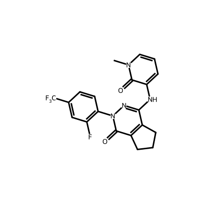 Cn1cccc(Nc2nn(-c3ccc(C(F)(F)F)cc3F)c(=O)c3c2CCC3)c1=O